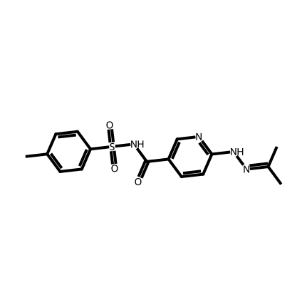 CC(C)=NNc1ccc(C(=O)NS(=O)(=O)c2ccc(C)cc2)cn1